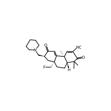 [C-]#[N+]C1=C[C@]2(C)C3=CC(=O)[C@H](CN4CCCCC4)C[C@]3(CF)CC[C@H]2C(C)(C)C1=O